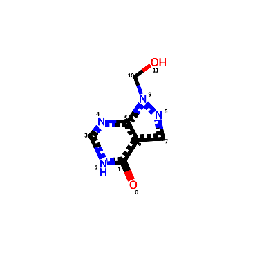 O=c1[nH]cnc2c1cnn2CO